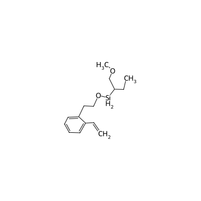 C=Cc1ccccc1CCO[SiH2]C(CC)COC